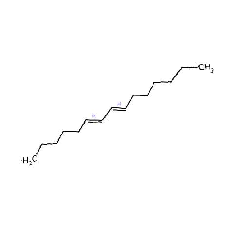 [CH2]CCCC/C=C/C=C/CCCCCC